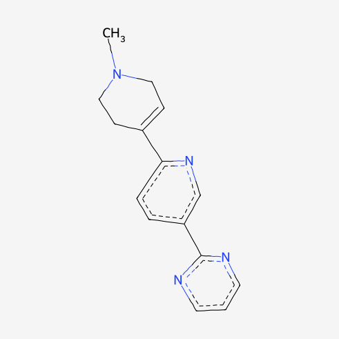 CN1CC=C(c2ccc(-c3ncccn3)cn2)CC1